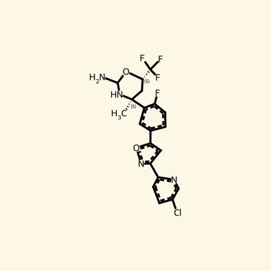 C[C@@]1(c2cc(-c3cc(-c4ccc(Cl)cn4)no3)ccc2F)C[C@@H](C(F)(F)F)OC(N)N1